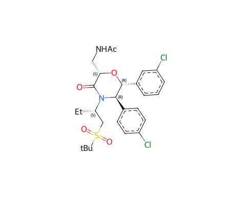 CC[C@@H](CS(=O)(=O)C(C)(C)C)N1C(=O)[C@H](CNC(C)=O)O[C@H](c2cccc(Cl)c2)[C@H]1c1ccc(Cl)cc1